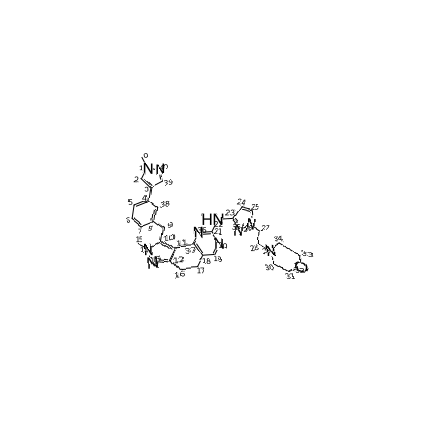 Cn1cc(-c2cccc(Cc3c4c(nn3C)CCc3cnc(Nc5ccn(CCN6CCOCC6)n5)nc3-4)c2)cn1